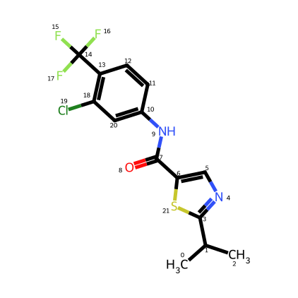 CC(C)c1ncc(C(=O)Nc2ccc(C(F)(F)F)c(Cl)c2)s1